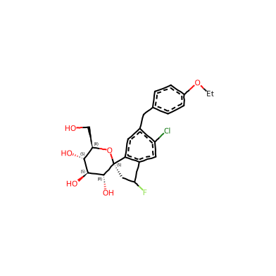 CCOc1ccc(Cc2cc3c(cc2Cl)C(F)C[C@]32O[C@H](CO)[C@@H](O)[C@H](O)[C@H]2O)cc1